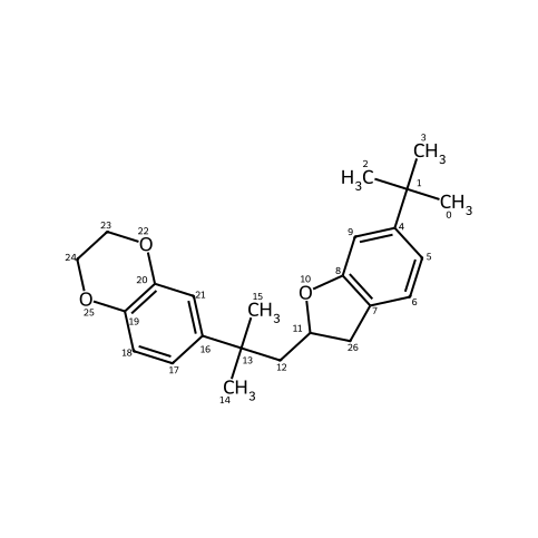 CC(C)(C)c1ccc2c(c1)OC(CC(C)(C)c1ccc3c(c1)OCCO3)C2